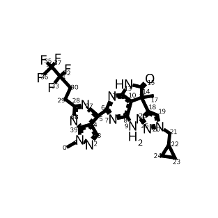 Cn1ncc2c(-c3nc(N)c4c(n3)NC(=O)C4(C)c3cn(CC4CC4)nn3)nc(CCC(F)(F)C(F)(F)F)nc21